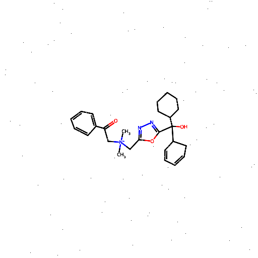 C[N+](C)(CC(=O)c1ccccc1)Cc1nnc(C(O)(C2C=CC=CC2)C2CCCCC2)o1